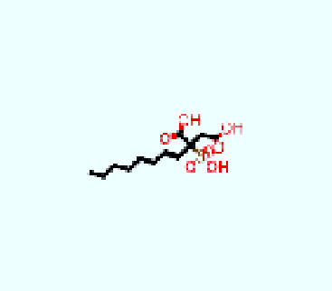 CCCCCC/C=C/C(CC(=O)O)(C(=O)O)S(=O)(=O)O